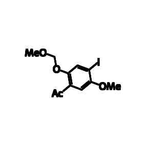 COCOc1cc(I)c(OC)cc1C(C)=O